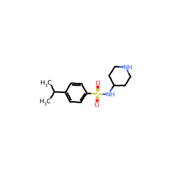 CC(C)c1ccc(S(=O)(=O)NC2CCNCC2)cc1